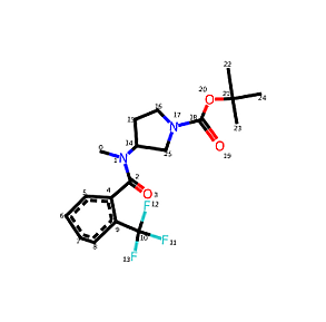 CN(C(=O)c1ccccc1C(F)(F)F)C1CCN(C(=O)OC(C)(C)C)C1